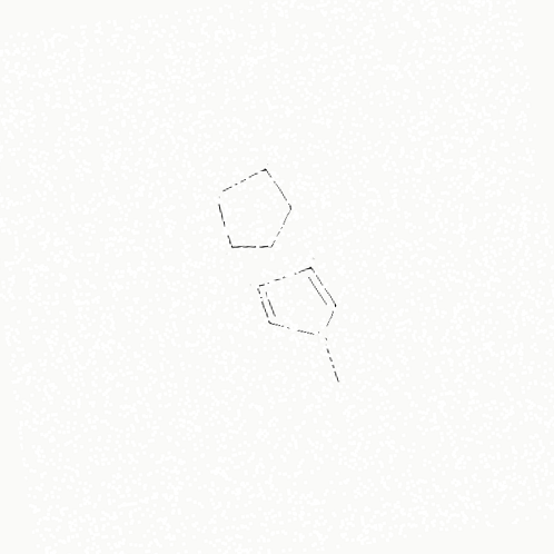 C1CCSC1.Cn1cccc1